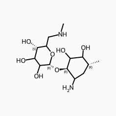 CNCC1O[C@H](O[C@@H]2C(N)C[C@@H](C)C(O)C2O)C(O)C(O)[C@@H]1O